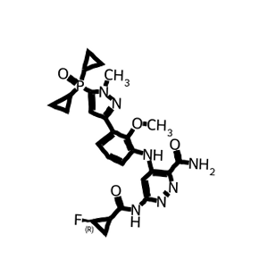 COc1c(Nc2cc(NC(=O)C3C[C@H]3F)nnc2C(N)=O)cccc1-c1cc(P(=O)(C2CC2)C2CC2)n(C)n1